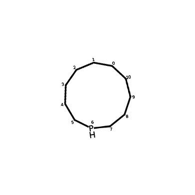 C1CCCCCPCCCC1